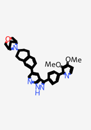 COc1ccnc(-c2ccc(-c3n[nH]c4ncc(-c5ccc6c(c5)CC[C@@H](N5C7COCC5C7)CC6)cc34)cc2)c1OC